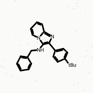 CC(C)(C)c1ccc(-c2nc3ccccn3c2NCc2ccccc2)cc1